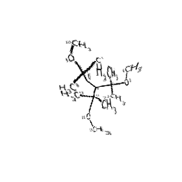 COC(C)(C)C(C(C)(C)OC)C(C)(C)OC